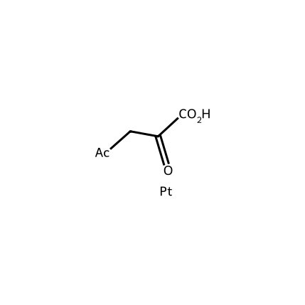 CC(=O)CC(=O)C(=O)O.[Pt]